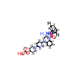 NC(=O)C12CC3C[C@H](C1)C(NC(=O)N1CCN(c4ccc(N5CCC(OC(=O)O)CC5)cn4)c4ccccc41)[C@@H](C3)C2